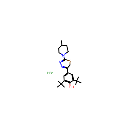 Br.CC1CCN(C2=NN=C(c3cc(C(C)(C)C)c(O)c(C(C)(C)C)c3)CS2)CC1